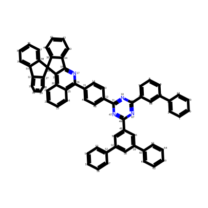 c1ccc(-c2cccc(-c3nc(-c4ccc(-c5nc6c(c7ccccc57)C5(c7ccccc7-c7ccccc75)c5ccccc5-6)cc4)nc(-c4cc(-c5ccccc5)cc(-c5ccccc5)c4)n3)c2)cc1